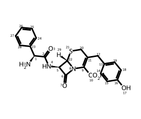 N[C@H](C(=O)N[C@@H]1C(=O)N2C(C(=O)O)=C(Cc3ccc(O)cc3)CS[C@@H]12)c1ccccc1